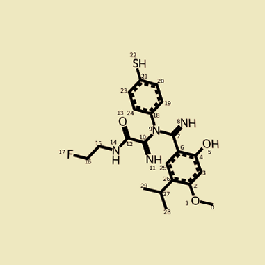 COc1cc(O)c(C(=N)N(C(=N)C(=O)NCCF)c2ccc(S)cc2)cc1C(C)C